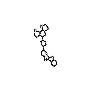 c1cnc2c(c1)cc(-c1ccc(-c3ccc4nc5c6ccccc6sc5n4c3)cc1)c1cccnc12